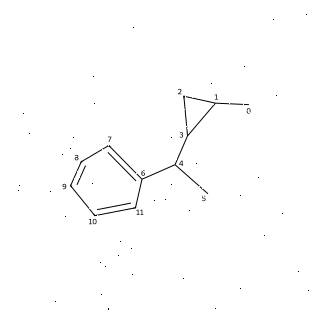 CC1CC1C(C)c1ccccc1